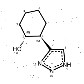 O[C@@H]1[CH]CCC[C@H]1c1c[nH]nn1